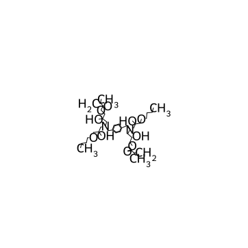 C=C(C)C(=O)OCC(O)CN(Cc1ccc(CN(CC(O)COCCCC)CC(O)COC(=O)C(=C)C)cc1)CC(O)COCCCC